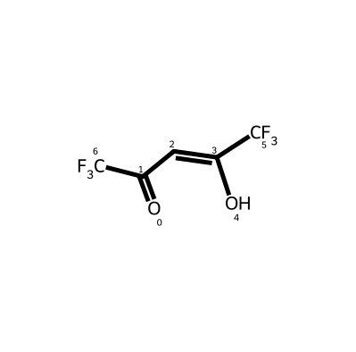 O=C(/C=C(\O)C(F)(F)F)C(F)(F)F